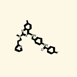 Cc1ccc2c(NCc3ccc(NC(=O)c4ccc(F)cc4)cc3)nc(N(C)CCc3ccccn3)nc2c1